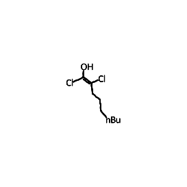 CCCCCCCC(Cl)=C(O)Cl